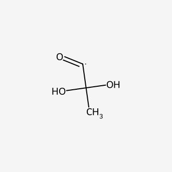 CC(O)(O)[C]=O